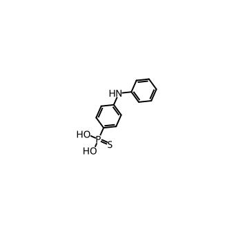 OP(O)(=S)c1ccc(Nc2ccccc2)cc1